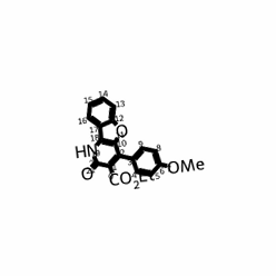 CCOC(=O)c1c(-c2ccc(OC)cc2)c2oc3ccccc3c2[nH]c1=O